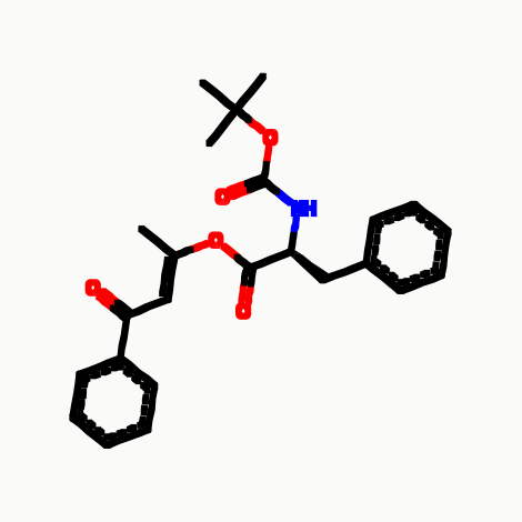 C/C(=C\C(=O)c1ccccc1)OC(=O)[C@H](Cc1ccccc1)NC(=O)OC(C)(C)C